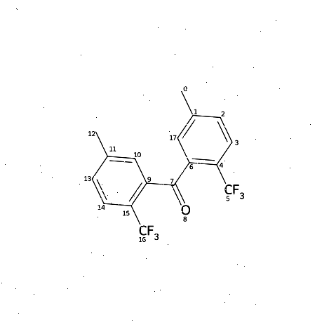 Cc1ccc(C(F)(F)F)c(C(=O)c2cc(C)ccc2C(F)(F)F)c1